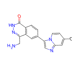 N#Cc1ccn2c(-c3ccc4c(=O)[nH]nc(CN)c4c3)cnc2c1